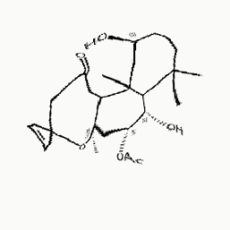 CC(=O)O[C@H]1[C@@H](O)C2C(C)(C)CC[C@H](O)C2(C)C2C(=O)CC3(C=C3)O[C@@]21C